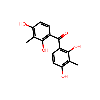 Cc1c(O)ccc(C(=O)c2ccc(O)c(C)c2O)c1O